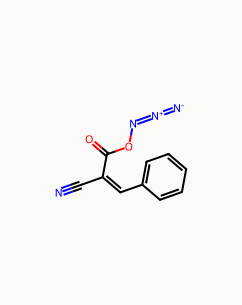 N#CC(=Cc1ccccc1)C(=O)ON=[N+]=[N-]